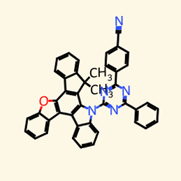 CC1(C)c2ccccc2-c2c1c1c(c3ccccc3n1-c1nc(-c3ccccc3)nc(-c3ccc(C#N)cc3)n1)c1c2oc2ccccc21